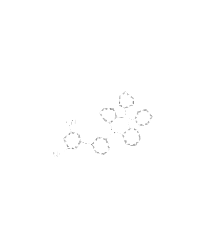 N#Cc1cc(C#N)cc(-c2cccc(N3c4ccccc4[Si](c4ccccc4)(c4ccccc4)c4ccccc43)c2)c1